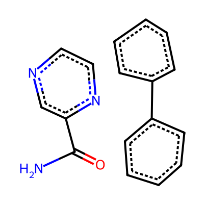 NC(=O)c1cnccn1.c1ccc(-c2ccccc2)cc1